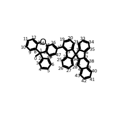 CC1(c2ccccc2)c2ccccc2Oc2cc(-c3cccc4c3-c3ccccc3C43c4ccccc4-c4cc5ccccc5cc43)ccc21